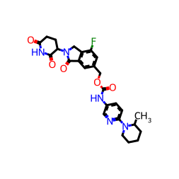 CC1CCCCN1c1ccc(NC(=O)OCc2cc(F)c3c(c2)C(=O)N(C2CCC(=O)NC2=O)C3)cn1